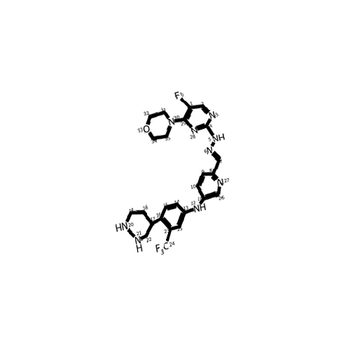 Fc1cnc(N/N=C/c2ccc(Nc3ccc(C4CCNNC4)c(C(F)(F)F)c3)cn2)nc1N1CCOCC1